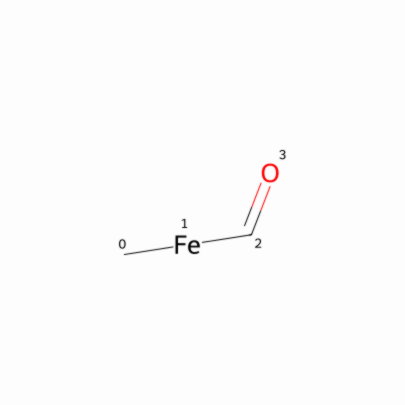 [CH3][Fe][CH]=O